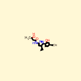 C#Cc1ccc(-c2nnc(NC(=O)C[C@@H](C)O)cc2C2CC2)c(O)c1